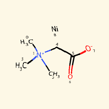 C[N+](C)(C)CC(=O)[O-].[Ni]